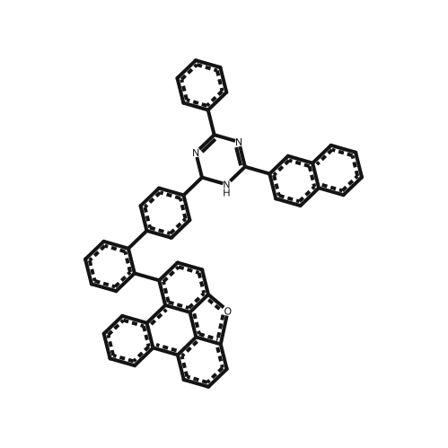 c1ccc(C2=NC(c3ccc(-c4ccccc4-c4ccc5oc6cccc7c8ccccc8c4c5c67)cc3)NC(c3ccc4ccccc4c3)=N2)cc1